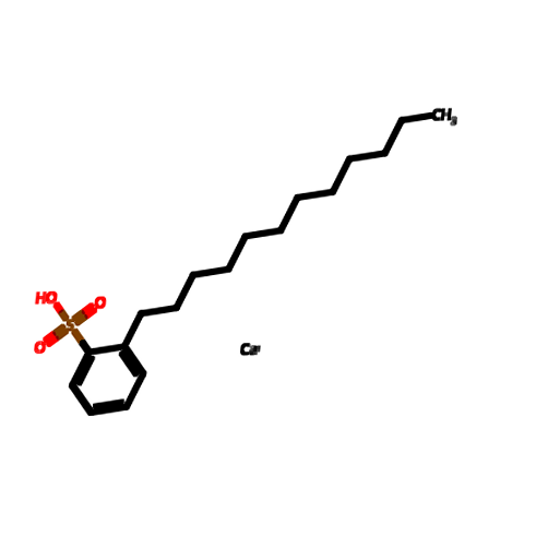 CCCCCCCCCCCCc1ccccc1S(=O)(=O)O.[Ca]